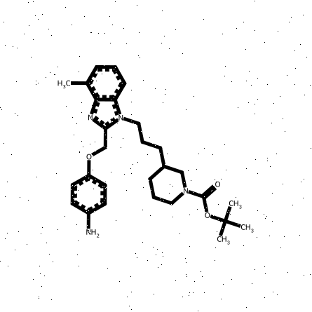 Cc1cccc2c1nc(COc1ccc(N)cc1)n2CCCC1CCCN(C(=O)OC(C)(C)C)C1